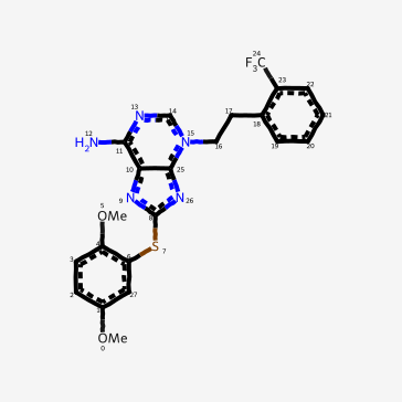 COc1ccc(OC)c(Sc2nc3c(N)ncn(CCc4ccccc4C(F)(F)F)c-3n2)c1